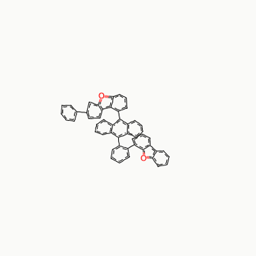 c1ccc(-c2ccc3c(c2)oc2cccc(-c4c5ccccc5c(-c5ccccc5-c5cccc6c5oc5ccccc56)c5ccccc45)c23)cc1